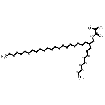 C=C(C)C(=O)OCC(CCCCCCCCC)CCCCCCCCCCCCCCCCCCCCCC